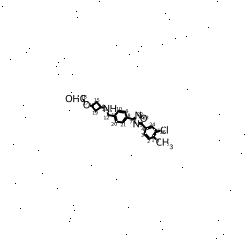 Cc1ccc(-c2nc(-c3ccc(CNC4CC(OC=O)C4)cc3)no2)cc1Cl